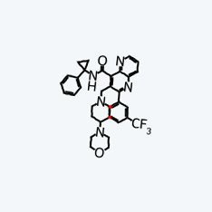 O=C(NC1(c2ccccc2)CC1)c1c(CN2CCC(N3CCOCC3)CC2)c(-c2cccc(C(F)(F)F)c2)nc2cccnc12